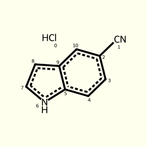 Cl.N#Cc1ccc2[nH]ccc2c1